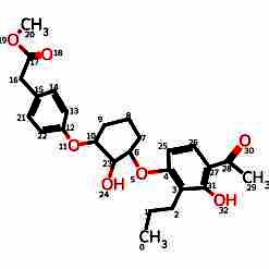 CCCc1c(OC2CCCC(Oc3ccc(CC(=O)OC)cc3)C2O)ccc(C(C)=O)c1O